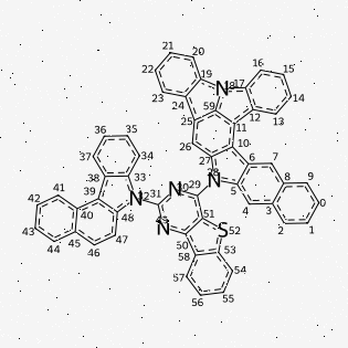 c1ccc2cc3c(cc2c1)c1c2c4ccccc4n4c5ccccc5c(cc1n3-c1nc(-n3c5ccccc5c5c6ccccc6ccc53)nc3c1sc1ccccc13)c24